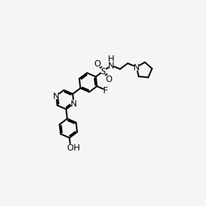 O=S(=O)(NCCN1CCCC1)c1ccc(-c2cncc(-c3ccc(O)cc3)n2)cc1F